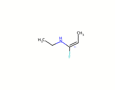 C/C=C(/F)NCC